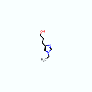 CCn1cnc(CCCO)c1